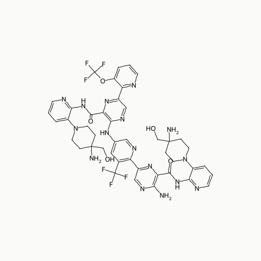 Nc1ncc(-c2ncc(Nc3ncc(-c4ncccc4OC(F)(F)F)nc3C(=O)Nc3ncccc3N3CCC(N)(CO)CC3)cc2C(F)(F)F)nc1C(=O)Nc1ncccc1N1CCC(N)(CO)CC1